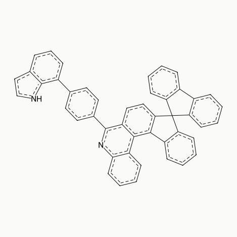 c1ccc2c(c1)-c1ccccc1C21c2ccccc2-c2c1ccc1c(-c3ccc(-c4cccc5cc[nH]c45)cc3)nc3ccccc3c21